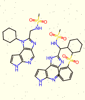 CS(=O)(=O)NC(c1nc2cnc3[nH]ccc3c2[nH]1)C1CCCCC1S(=O)(=O)c1ccccc1.CS(=O)(=O)NCc1nc2cnc3[nH]ccc3c2n1C1CCCCC1